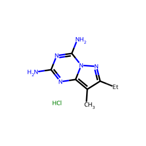 CCc1nn2c(N)nc(N)nc2c1C.Cl